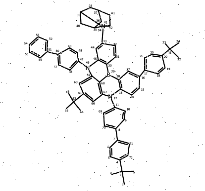 CC(C)(C)c1ccc(-c2ccc(N3c4ccc(-c5ccc(C(C)(C)C)cc5)cc4B4c5ccc(N6C7CC8CC(C7)CC6C8)cc5N(c5ccc(-c6ccccc6)cc5)c5cc(C(C)(C)C)cc3c54)cc2)cc1